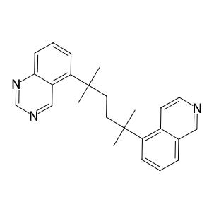 CC(C)(CCC(C)(C)c1cccc2ncncc12)c1cccc2cnccc12